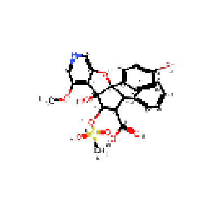 COc1cncc2c1C1(O)C(OS(C)(=O)=O)C(C(=O)O)C(c3ccccc3)C1(c1ccc(Br)cc1)O2